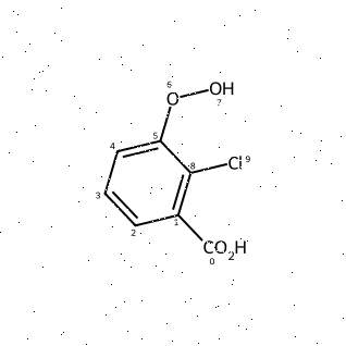 O=C(O)c1cccc(OO)c1Cl